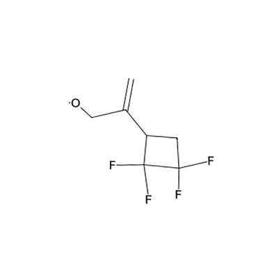 C=C(C[O])C1CC(F)(F)C1(F)F